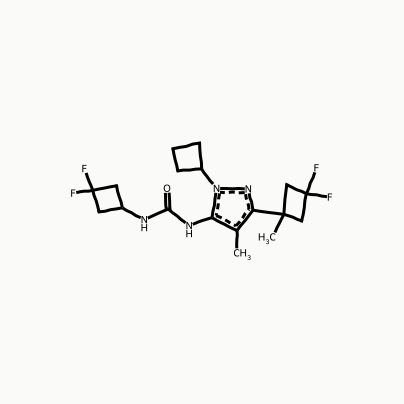 Cc1c(C2(C)CC(F)(F)C2)nn(C2CCC2)c1NC(=O)NC1CC(F)(F)C1